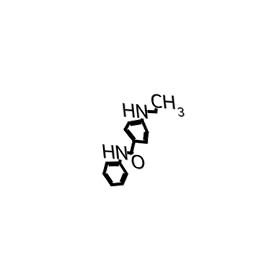 CCNc1ccc(C(=O)Nc2ccccc2)cc1